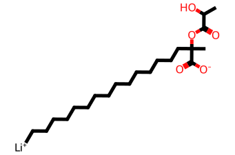 CCCCCCCCCCCCCCCCC(C)(OC(=O)C(C)O)C(=O)[O-].[Li+]